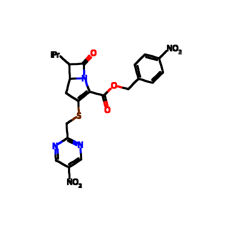 CC(C)C1C(=O)N2C(C(=O)OCc3ccc([N+](=O)[O-])cc3)=C(SCc3ncc([N+](=O)[O-])cn3)CC12